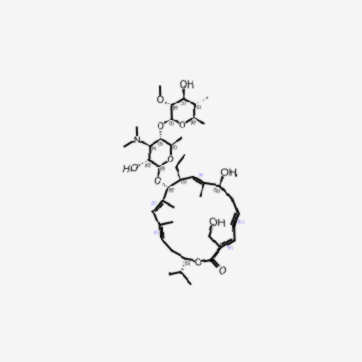 CC[C@H]1/C=C(\C)[C@@H](O)C/C=C/C=C(\CO)C(=O)O[C@H](C(C)C)C/C=C(C)/C=C(\C)[C@@H]1O[C@@H]1O[C@H](C)[C@@H](O[C@@H]2O[C@H](C)[C@@H](C)[C@H](O)[C@H]2OC)[C@H](N(C)C)[C@H]1O